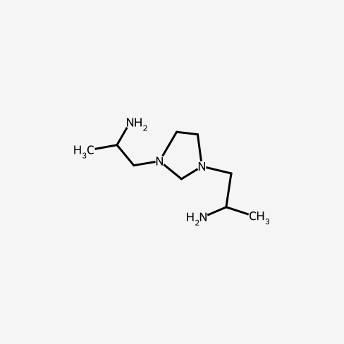 CC(N)CN1CCN(CC(C)N)C1